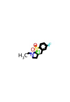 CCN1CC[C@H](Cc2cc(F)ccc2S(=O)(=O)Cl)C1